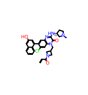 C=CC(=O)N1CC(Cn2c(=O)c(N[C@H]3CCN(C)C3)nc3cc(-c4cc(O)cc5ccccc45)c(Cl)cc32)C1